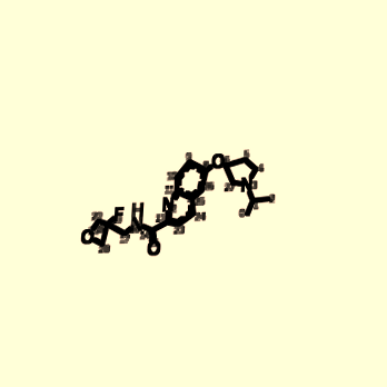 CC(C)N1CCC(Oc2ccc3nc(C(=O)NCC4(F)COC4)ccc3c2)C1